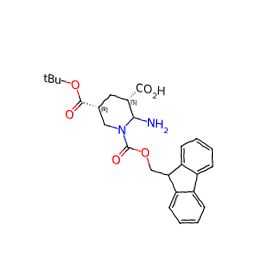 CC(C)(C)OC(=O)[C@@H]1C[C@H](C(=O)O)C(N)N(C(=O)OCC2c3ccccc3-c3ccccc32)C1